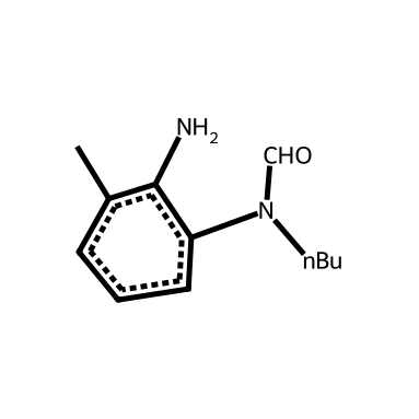 CCCCN(C=O)c1cccc(C)c1N